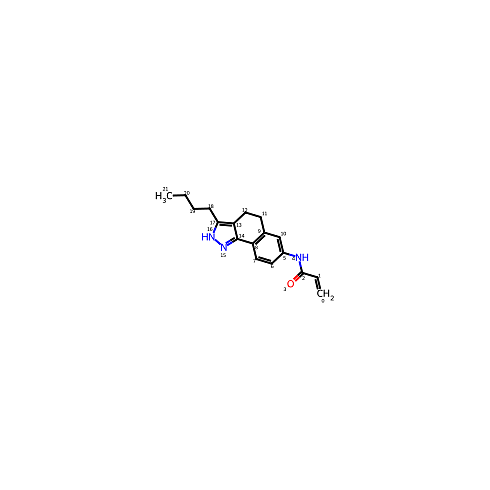 C=CC(=O)Nc1ccc2c(c1)CCc1c-2n[nH]c1CCCC